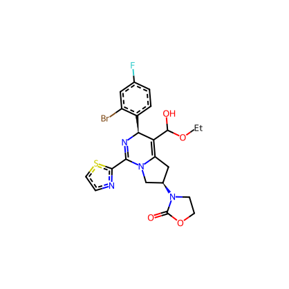 CCOC(O)C1=C2C[C@@H](N3CCOC3=O)CN2C(c2nccs2)=N[C@H]1c1ccc(F)cc1Br